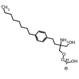 CCCCCCCCc1ccc(CCC(N)(CO)COO[PH](=O)O)cc1